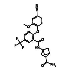 COc1cc(C#N)ccc1Oc1ncc(C(F)(F)F)cc1C(=O)NC12CC(C1)C(C(N)=O)C2